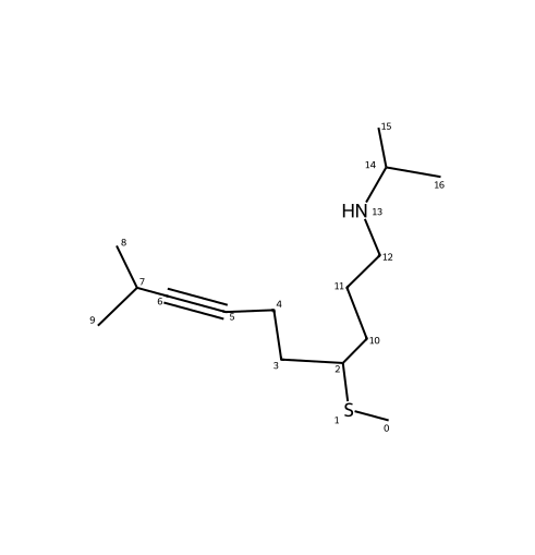 CSC(CCC#CC(C)C)CCCNC(C)C